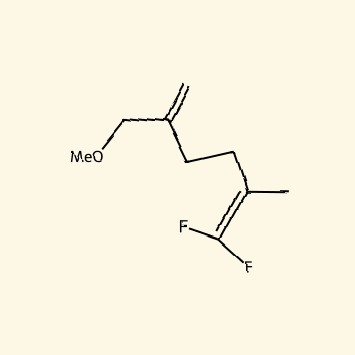 C=C(CCC(C)=C(F)F)COC